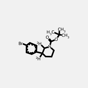 [2H]C1N(C(=O)OC(C)(C)C)CCCC1([2H])c1ccc(Br)cc1